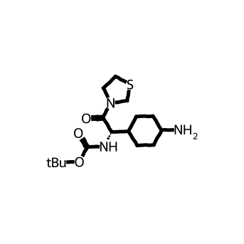 CC(C)(C)OC(=O)N[C@H](C(=O)N1CCSC1)C1CCC(N)CC1